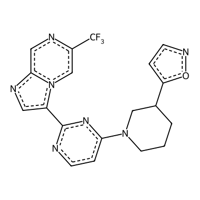 FC(F)(F)c1cn2c(-c3nccc(N4CCCC(c5ccno5)C4)n3)cnc2cn1